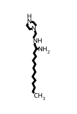 CCCCCCCCCCCCC(N)CNCCN1CCNCC1